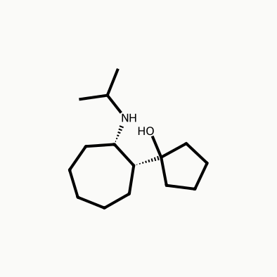 CC(C)N[C@H]1CCCCC[C@H]1C1(O)CCCC1